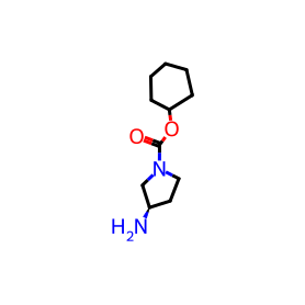 N[C@@H]1CCN(C(=O)OC2CCCCC2)C1